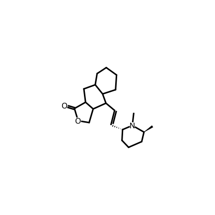 C[C@H]1CCC[C@H](/C=C/C2C3CCCCC3CC3C(=O)OCC32)N1C